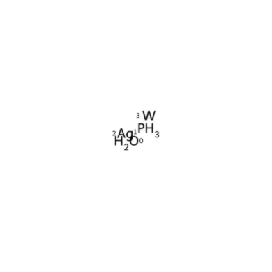 O.P.[Ag].[W]